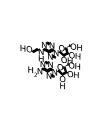 Nc1ncnc2c1ncn2[C@@H]1O[C@H](CO)[C@@H](O)[C@H]1O.OCCNc1ncnc2c1ncn2[C@@H]1O[C@H](CO)[C@@H](O)[C@H]1O